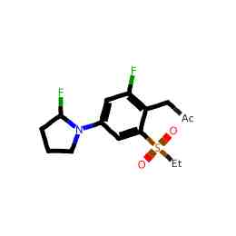 CCS(=O)(=O)c1cc(N2CCCC2F)cc(F)c1CC(C)=O